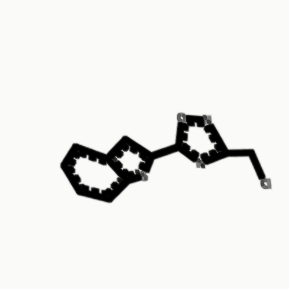 ClCc1noc(-c2cc3ccccc3s2)n1